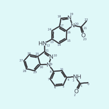 CC(=O)Nc1cccc(-n2nc(Nc3ccc4c(cnn4C(C)=O)c3)c3ccccc32)c1